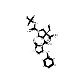 CC[C@]1(C(=O)O)CN(C(=O)OC(C)(C)C)C[C@@H]1C(=O)N1C(=O)OC[C@H]1Cc1ccccc1